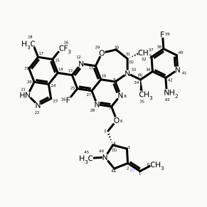 C/C=C1\C[C@@H](COc2nc3c4c(nc(-c5c(C(F)(F)F)c(C)cc6[nH]ncc56)c(F)c4n2)OC[C@H](C)N3[C@H](C)c2cc(F)cnc2N)N(C)C1